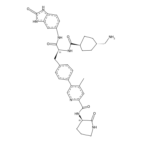 Cc1cc(C(=O)N[C@@H]2CCCNC2=O)ncc1-c1ccc(C[C@H](NC(=O)[C@H]2CC[C@H](CN)CC2)C(=O)Nc2ccc3[nH]c(=O)[nH]c3c2)cc1